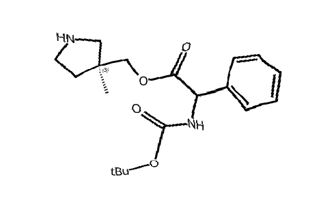 CC(C)(C)OC(=O)NC(C(=O)OC[C@@]1(C)CCNC1)c1ccccc1